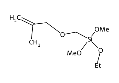 C=C(C)COC[Si](OC)(OC)OCC